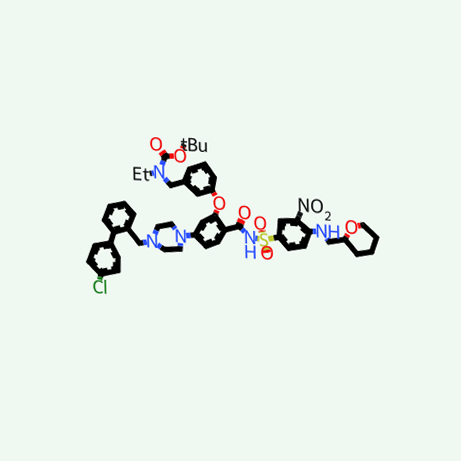 CCN(Cc1cccc(Oc2cc(N3CCN(Cc4ccccc4-c4ccc(Cl)cc4)CC3)ccc2C(=O)NS(=O)(=O)c2ccc(NCC3CCCCO3)c([N+](=O)[O-])c2)c1)C(=O)OC(C)(C)C